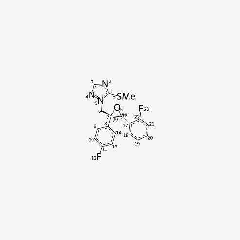 CSc1ncnn1C[C@@]1(c2ccc(F)cc2)O[C@@H]1c1ccccc1F